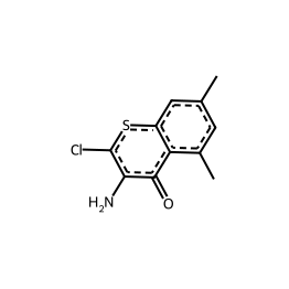 Cc1cc(C)c2c(=O)c(N)c(Cl)sc2c1